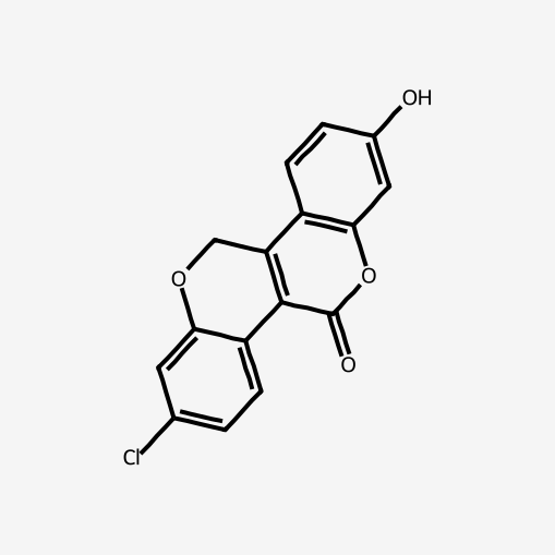 O=c1oc2cc(O)ccc2c2c1-c1ccc(Cl)cc1OC2